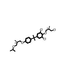 CC(C)OC[C@@H](C)COc1ccc(C(C)(C)c2cc(Cl)c(OC[C@@H](C)CCl)c(Cl)c2)cc1